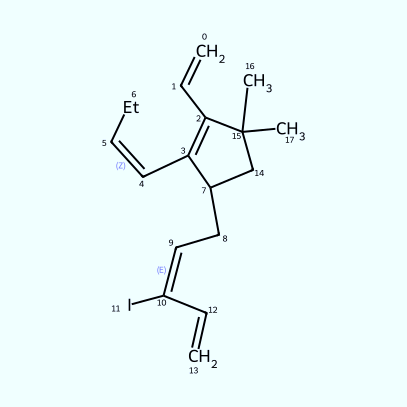 C=CC1=C(/C=C\CC)C(C/C=C(/I)C=C)CC1(C)C